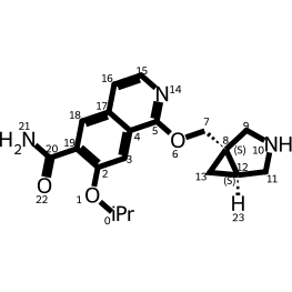 CC(C)Oc1cc2c(OC[C@]34CNC[C@H]3C4)nccc2cc1C(N)=O